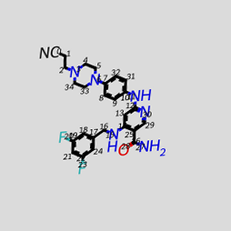 N#CCCN1CCN(c2ccc(Nc3cc(NCc4cc(F)cc(F)c4)c(C(N)=O)cn3)cc2)CC1